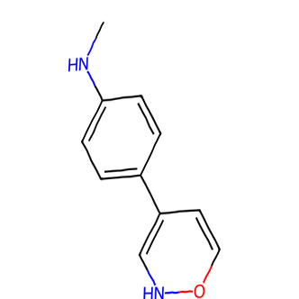 CNc1ccc(C2=CNOC=C2)cc1